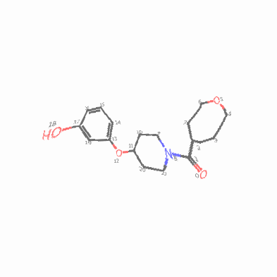 O=C(C1CCOCC1)N1CCC(Oc2cccc(O)c2)CC1